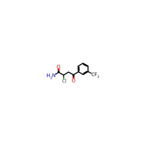 NC(=O)C(Cl)CC(=O)c1cccc(C(F)(F)F)c1